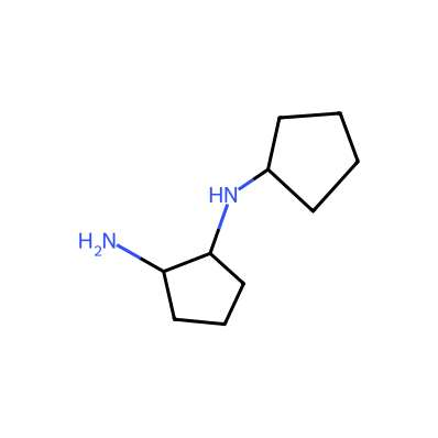 NC1CCCC1NC1CCCC1